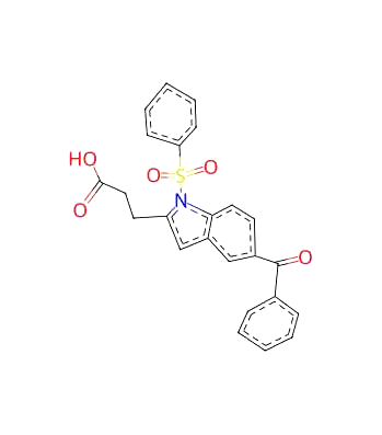 O=C(O)CCc1cc2cc(C(=O)c3ccccc3)ccc2n1S(=O)(=O)c1ccccc1